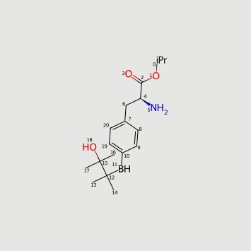 CC(C)OC(=O)[C@@H](N)Cc1ccc(BC(C)(C)C(C)(C)O)cc1